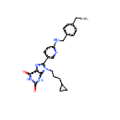 CC(=O)NCc1ccc(CNc2ccc(-c3nc4c(=O)[nH]c(=O)[nH]c4n3CCCC3CC3)cn2)cc1